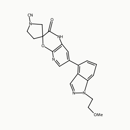 COCCn1ncc2c(-c3cnc4c(c3)NC(=O)C3(CCN(C#N)C3)O4)cccc21